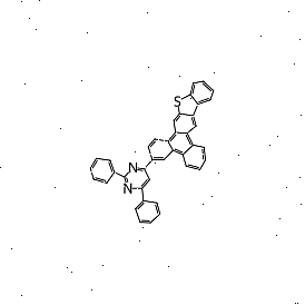 c1ccc(-c2cc(-c3ccc4c(c3)c3ccccc3c3cc5c(cc43)sc3ccccc35)nc(-c3ccccc3)n2)cc1